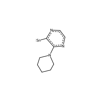 [Sn][c]1nccnc1N1CCCCC1